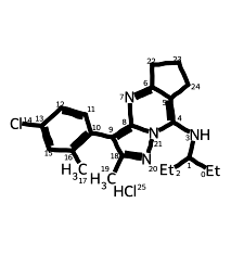 CCC(CC)Nc1c2c(nc3c(-c4ccc(Cl)cc4C)c(C)nn13)CCC2.Cl